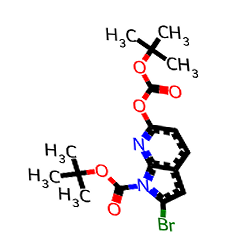 CC(C)(C)OC(=O)Oc1ccc2cc(Br)n(C(=O)OC(C)(C)C)c2n1